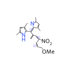 C=C(/C=C(\C=C/COC)[N+](=O)[O-])/C(=C1/N=C(C)C=C1C)c1[nH]c(C)cc1C